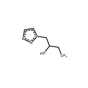 CCC(O)Cn1ccnn1